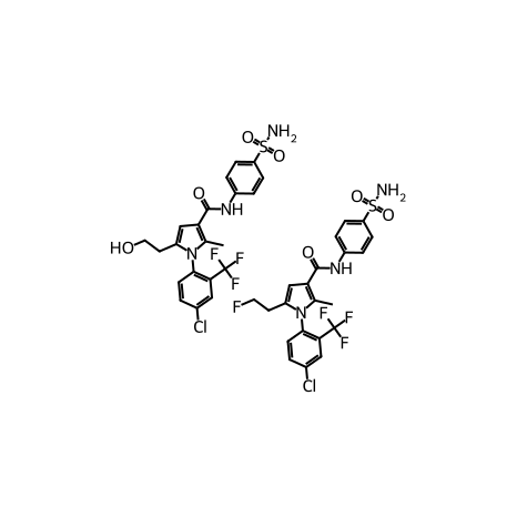 Cc1c(C(=O)Nc2ccc(S(N)(=O)=O)cc2)cc(CCF)n1-c1ccc(Cl)cc1C(F)(F)F.Cc1c(C(=O)Nc2ccc(S(N)(=O)=O)cc2)cc(CCO)n1-c1ccc(Cl)cc1C(F)(F)F